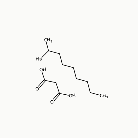 CCCCCCC[CH](C)[Na].O=C(O)CC(=O)O